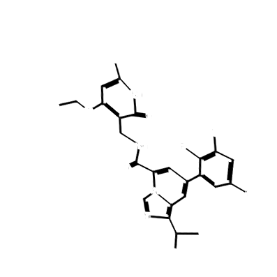 CCOc1cc(C)[nH]c(=O)c1CNC(=O)c1cc(-c2cc(F)cc(F)c2F)cc2c(C(C)C)ncn12